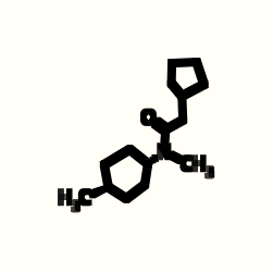 CN(C(=O)CC1CCCC1)[C@H]1CC[C@H](C)CC1